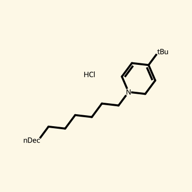 CCCCCCCCCCCCCCCCN1C=CC(C(C)(C)C)=CC1.Cl